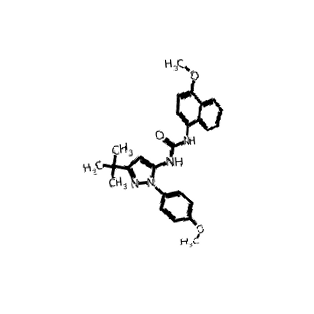 COc1ccc(-n2nc(C(C)(C)C)cc2NC(=O)Nc2ccc(OC)c3ccccc23)cc1